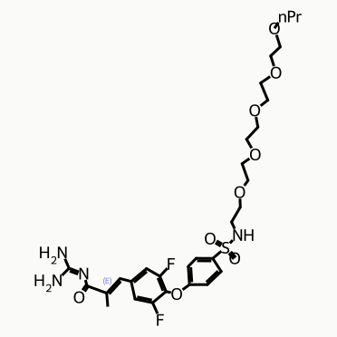 CCCOCCOCCOCCOCCOCCNS(=O)(=O)c1ccc(Oc2c(F)cc(/C=C(\C)C(=O)N=C(N)N)cc2F)cc1